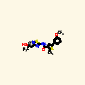 Cc1sc(-c2cccc(OC(F)(F)F)c2)cc1C(=O)Nc1nc(CC(C)(O)C(F)(F)F)ns1